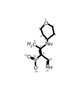 C/C(NC1CCOCC1)=C(/C=N)[N+](=O)[O-]